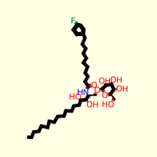 CCCCCCCCCCCCCC[C@@H](O)[C@@H](O)[C@H](CO[C@H]1O[C@H](CO)[C@H](O)[C@H](O)[C@H]1O)NC(=O)CCCCCCCCCCc1ccc(F)cc1